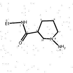 CCNC(=O)C1CCCN(N)C1